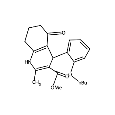 CCCCOc1ccccc1C1C(C(=O)OC)=C(C)NC2=C1C(=O)CCC2